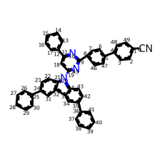 N#Cc1ccc(-c2ccc(-c3nc(-c4ccccc4)cc(-n4c5ccc(-c6ccccc6)cc5c5cc(-c6ccccc6)ccc54)n3)cc2)cc1